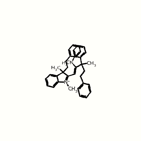 CN1C(=CC2=[N+](C)c3ccccc3C2(C)CCc2ccccc2)C(C)(CCc2ccccc2)c2ccccc21